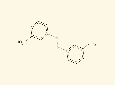 O=S(=O)(O)c1cccc(SSc2cccc(S(=O)(=O)O)c2)c1